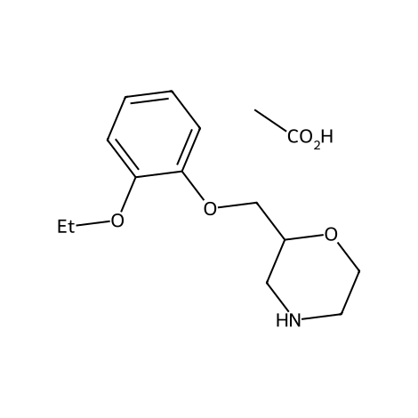 CC(=O)O.CCOc1ccccc1OCC1CNCCO1